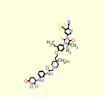 CCc1cc(N2C(=S)N(c3cnc(C#N)c(C(F)(F)F)c3)C(=O)C2(C)C)ccc1OCCC1(C)CCN(CC(=O)Nc2cccc(NC3CCC(=O)NC3=O)c2)CC1.Cl